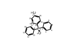 O=P(c1ccccc1)(c1ccccc1)c1ccccn1.[Li]